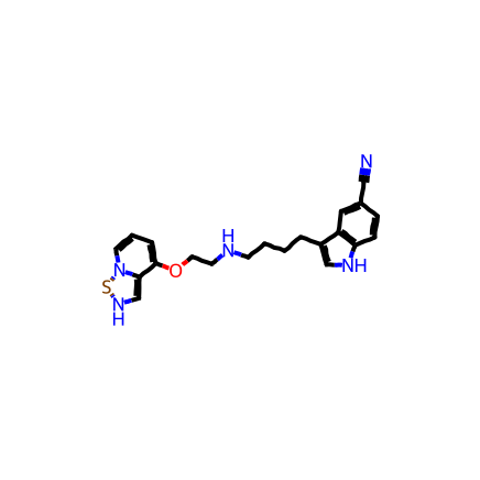 N#Cc1ccc2[nH]cc(CCCCNCCOC3=CC=CN4SNC=C34)c2c1